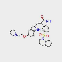 O=C1Nc2ccc(S(=O)(=O)N3CCCc4ccccc43)cc2/C1=C\c1cc2cc(OCCN3CCCC3)ccc2[nH]1